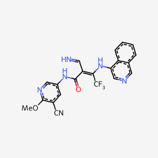 COc1ncc(NC(=O)/C(C=N)=C(/Nc2cncc3ccccc23)C(F)(F)F)cc1C#N